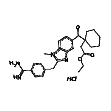 CCOC(=O)CC1(C(=O)c2ccc3c(c2)nc(Cc2ccc(C(=N)N)cc2)n3C)CCCCC1.Cl